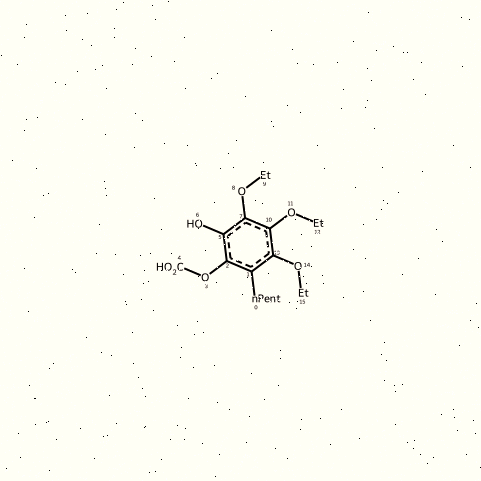 CCCCCc1c(OC(=O)O)c(O)c(OCC)c(OCC)c1OCC